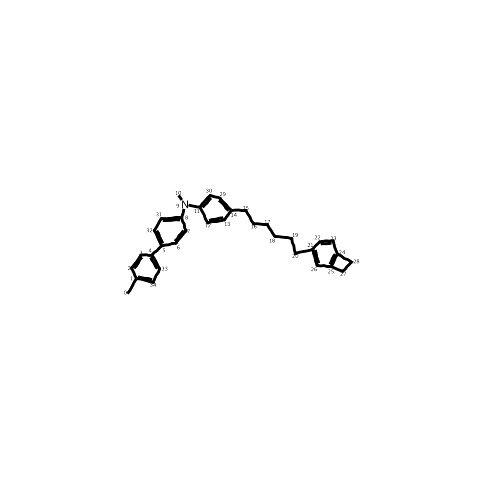 Cc1ccc(-c2ccc(N(C)c3ccc(CCCCCCc4ccc5c(c4)CC5)cc3)cc2)cc1